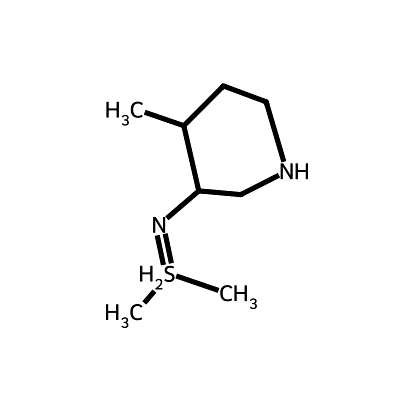 CC1CCNCC1N=[SH2](C)C